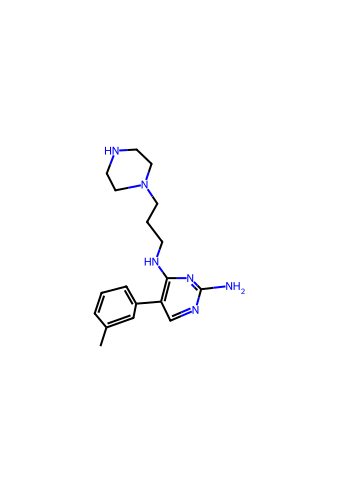 Cc1cccc(-c2cnc(N)nc2NCCCN2CCNCC2)c1